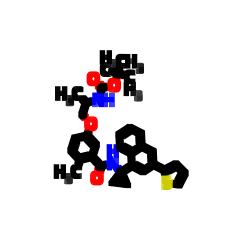 Cc1ccc(OCC(C)NC(=O)OC(C)(C)C)cc1C(=O)NC1(c2cc(-c3cccs3)cc3ccccc23)CC1